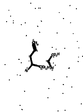 C=CCC(C(C)=O)C(=O)O.CC(=O)CC(=O)O